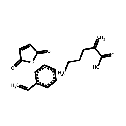 C=C(CCCC)C(=O)O.C=Cc1ccccc1.O=C1C=CC(=O)O1